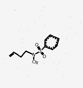 C=CCCN(C#N)S(=O)(=O)c1ccccc1